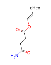 CCCCCCC=COC(=O)CCC(N)=O